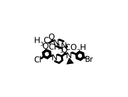 CC(C)(Oc1cc(Cl)cc(N2CCCC(C(=O)N(Cc3ccc(Br)cc3)C3CC3)C2)c1)C(=O)N1CCN(C(=O)O)CC1